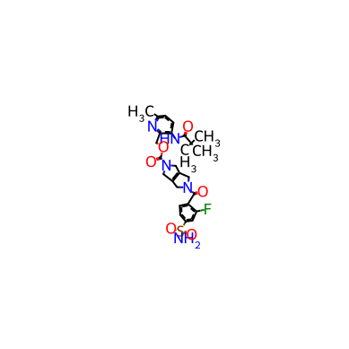 Cc1ccc(NC(=O)C(C)(C)C)c(COC(=O)N2CC3=C(C2)CN(C(=O)c2ccc(S(N)(=O)=O)cc2F)C3)n1